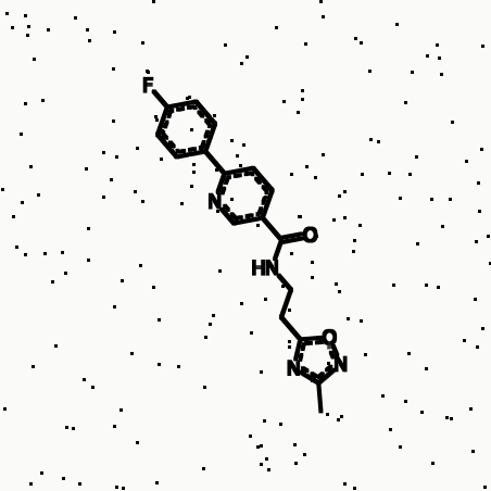 Cc1noc(CCNC(=O)c2ccc(-c3ccc(F)cc3)nc2)n1